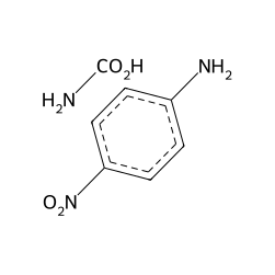 NC(=O)O.Nc1ccc([N+](=O)[O-])cc1